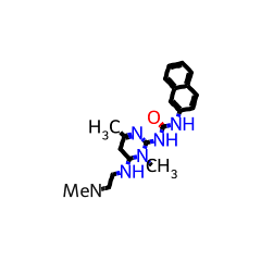 CNCCNC1CC(C)=NC(NC(=O)Nc2ccc3ccccc3c2)N1C